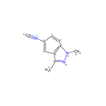 [C-]#[N+]c1ccc2c(c1)c(C)nn2C